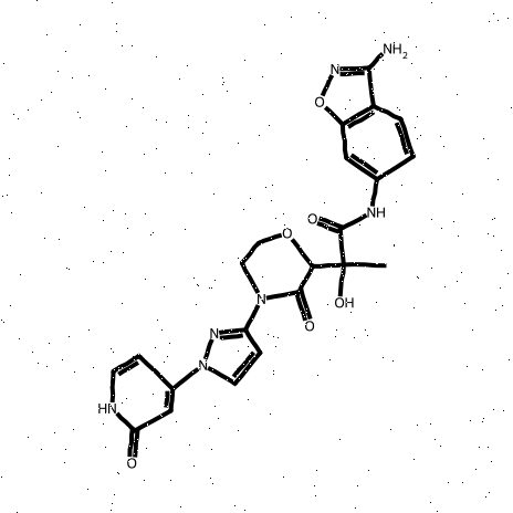 CC(O)(C(=O)Nc1ccc2c(N)noc2c1)C1OCCN(c2ccn(-c3cc[nH]c(=O)c3)n2)C1=O